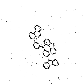 CC12C=Cc3ccccc3C1=CC=CC2c1cccc(N(c2ccc(-n3c4ccccc4c4ccccc43)cc2)c2cccc3sc4ccccc4c23)c1